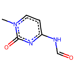 Cn1ccc(NC=O)nc1=O